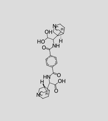 O=C(NC(C(=O)O)[C@H]1CN2CCC1CC2)c1ccc(C(=O)NC(C(O)O)[C@H]2CN3CCC2CC3)cc1